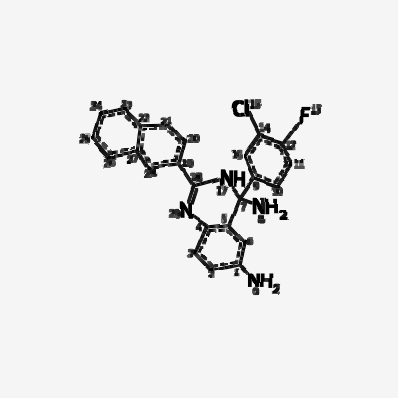 Nc1ccc2c(c1)C(N)(c1ccc(F)c(Cl)c1)NC(c1ccc3ccccc3c1)=N2